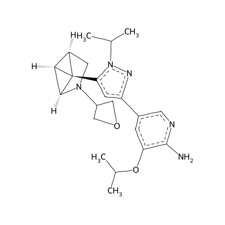 CC(C)Oc1cc(-c2cc([C@@]34[C@@H]5[C@H]3CN(C3COC3)[C@@H]54)n(C(C)C)n2)cnc1N